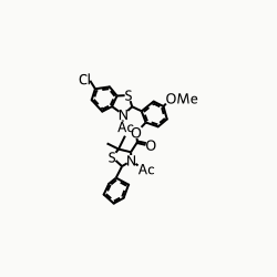 COc1ccc(OC(=O)C2N(C(C)=O)C(c3ccccc3)SC2(C)C)c(C2Sc3cc(Cl)ccc3N2C(C)=O)c1